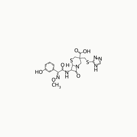 CON=C(C(=O)NC1C(=O)N2CC(CSc3nnc[nH]3)(C(=O)O)CS[C@H]12)c1cccc(O)c1